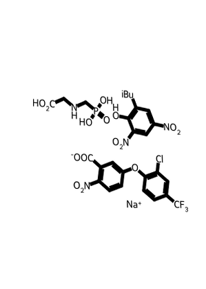 CCC(C)c1cc([N+](=O)[O-])cc([N+](=O)[O-])c1O.O=C(O)CNCP(=O)(O)O.O=C([O-])c1cc(Oc2ccc(C(F)(F)F)cc2Cl)ccc1[N+](=O)[O-].[Na+]